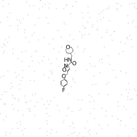 O=C(NCC1CCOCC1)c1cc(COc2ccc(F)cc2)on1